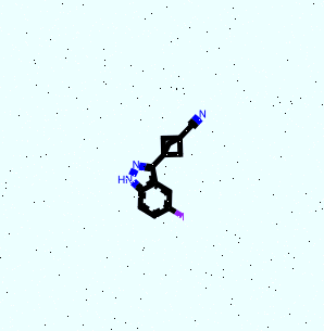 N#CC12CC(c3n[nH]c4ccc(I)cc34)(C1)C2